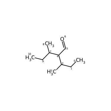 CCC(C)C([C]=O)C(C)CC